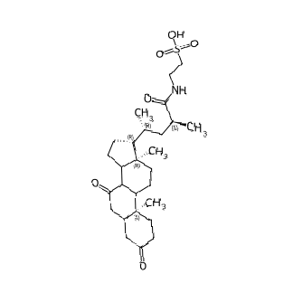 C[C@H](C[C@H](C)C(=O)NCCS(=O)(=O)O)[C@H]1CCC2C3C(=O)CC4CC(=O)CC[C@]4(C)C3CC[C@@]21C